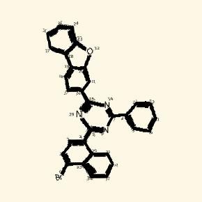 Brc1ccc(-c2nc(-c3ccccc3)nc(-c3ccc4c(c3)oc3ccccc34)n2)c2ccccc12